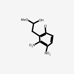 COC(O)Cc1c(Cl)ccc([N+](=O)[O-])c1[N+](=O)[O-]